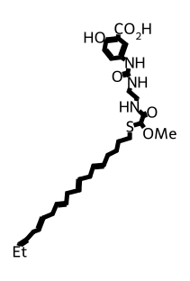 CCC=CCC=CCC=CCC=CCC=CCCCCSC(OC)C(=O)NCCNC(=O)Nc1ccc(O)c(C(=O)O)c1